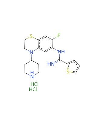 Cl.Cl.N=C(Nc1cc2c(cc1F)SCCN2C1CCNCC1)c1cccs1